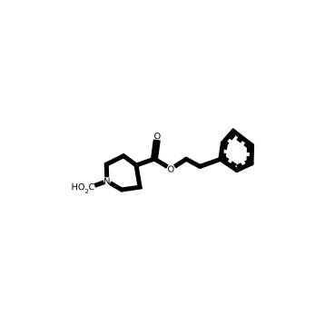 O=C(OCCc1ccccc1)C1CCN(C(=O)O)CC1